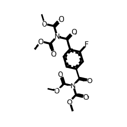 COC(=O)N(C(=O)OC)C(=O)c1ccc(C(=O)N(C(=O)OC)C(=O)OC)c(F)c1